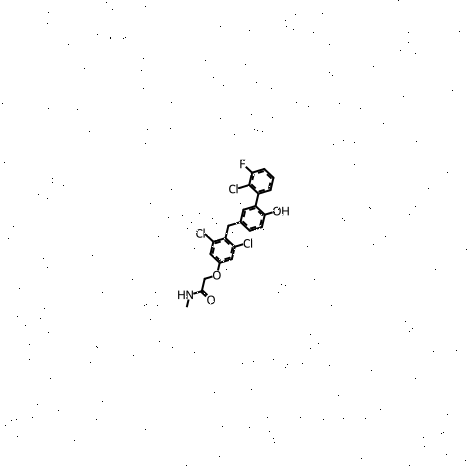 CNC(=O)COc1cc(Cl)c(Cc2ccc(O)c(-c3cccc(F)c3Cl)c2)c(Cl)c1